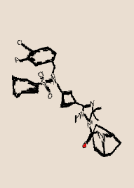 CC1(C)N=C(C23CC(N(Cc4ccc(Cl)c(F)c4)S(=O)(=O)c4ccccc4)(C2)C3)N[C@H]1C(=O)N1C2CCC1CC(F)(F)C2